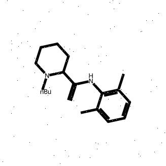 C=C(Nc1c(C)cccc1C)C1CCCCN1CCCC